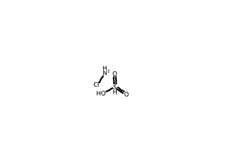 NCl.O=[SH](=O)O